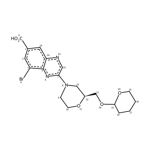 O=C(O)c1cc(Br)c2nc(N3CCO[C@H](COC4CCCCO4)C3)cnc2c1